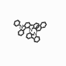 c1ccc(-n2c3ccccc3c3c2ccc2c4ccccc4n(-c4cccc5c6ccccc6n(-c6ccc7ccccc7c6)c45)c23)cc1